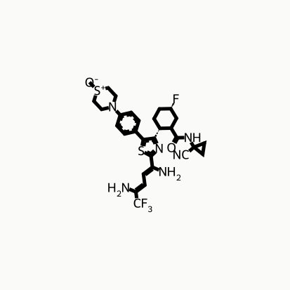 N#CC1(NC(=O)C2C[C@@H](F)CC[C@H]2c2nc(/C(N)=C/C=C(\N)C(F)(F)F)sc2-c2ccc(N3CC[S+]([O-])CC3)cc2)CC1